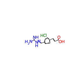 Cl.N=C(N)N/N=C/c1ccc(/C=C/C(=O)O)cc1